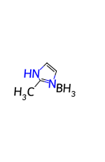 B.Cc1ncc[nH]1